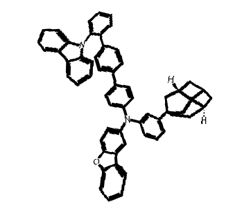 c1cc(N(c2ccc(-c3ccc(-c4ccccc4-n4c5ccccc5c5ccccc54)cc3)cc2)c2ccc3oc4ccccc4c3c2)cc(C23C[C@@H]4CC5C[C@@H](C2)C54C3)c1